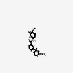 COc1ccc(NC(=O)c2cccc(C3(C)CCSC(N)=N3)c2)cc1F